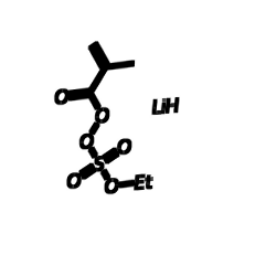 C=C(C)C(=O)OOS(=O)(=O)OCC.[LiH]